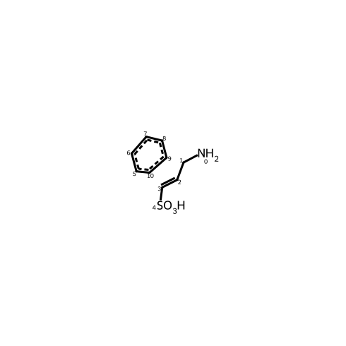 NCC=CS(=O)(=O)O.c1ccccc1